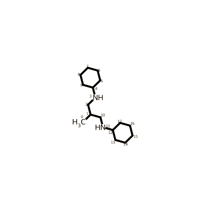 CC(CNC1CCCCC1)CNC1CCCCC1